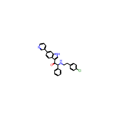 O=C(c1c[nH]c2cc(-c3cccnc3)ccc12)C(NCCc1ccc(Cl)cc1)c1ccccc1